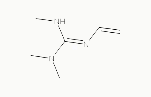 C=C/N=C(\NC)N(C)C